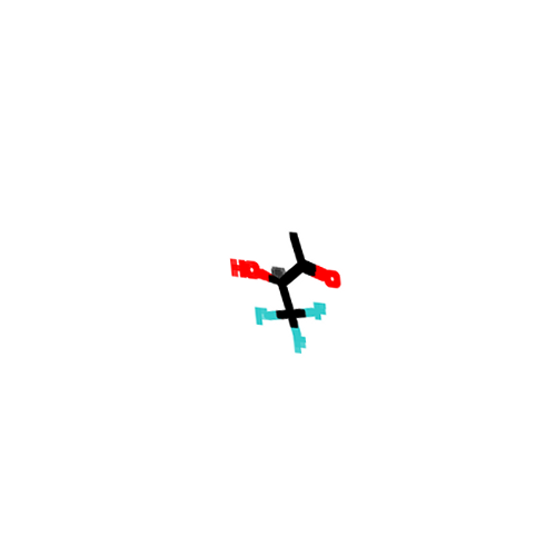 CC(=O)[C@H](O)C(F)(F)F